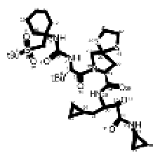 CC(C)(C)[C@H](NC(=O)NC1(CS(=O)(=O)C(C)(C)C)CCCCC1)C(=O)N1CC2(C[C@H]1C(=O)NC(CC1CC1)C(=O)C(=O)NC1CC1)SCCS2